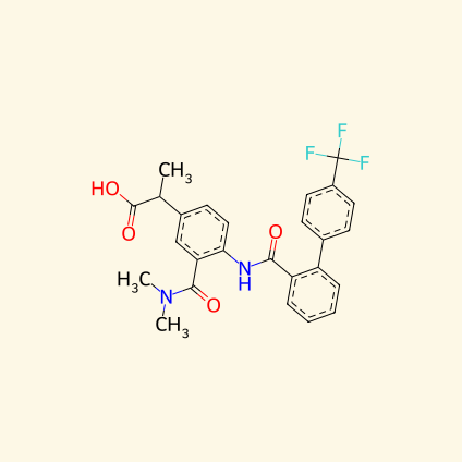 CC(C(=O)O)c1ccc(NC(=O)c2ccccc2-c2ccc(C(F)(F)F)cc2)c(C(=O)N(C)C)c1